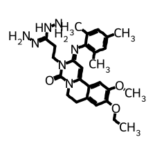 CCOc1cc2c(cc1OC)-c1c/c(=N\c3c(C)cc(C)cc3C)n(CC/C(=N/N)NN)c(=O)n1CC2